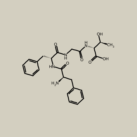 C[C@H](O)[C@@H](NC(=O)CNC(=O)[C@@H](Cc1ccccc1)NC(=O)[C@H](N)Cc1ccccc1)C(=O)O